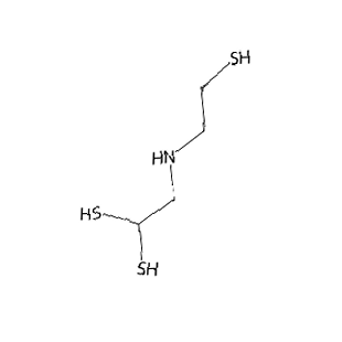 SCCNCC(S)S